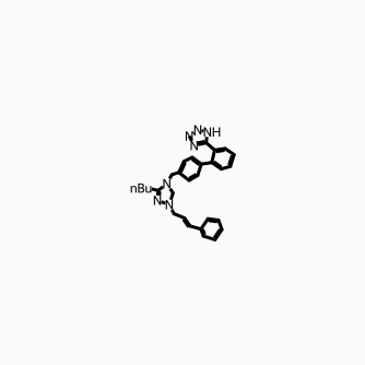 CCCCC1=NN(C/C=C/c2ccccc2)CN1Cc1ccc(-c2ccccc2-c2nnn[nH]2)cc1